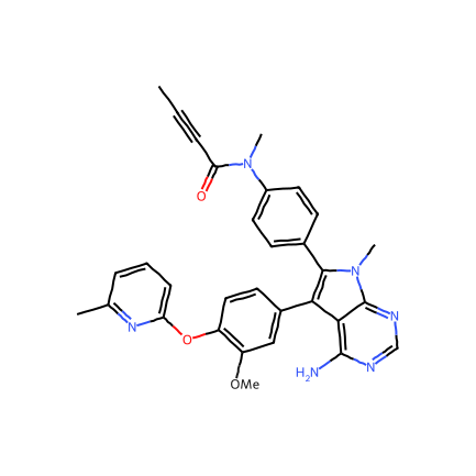 CC#CC(=O)N(C)c1ccc(-c2c(-c3ccc(Oc4cccc(C)n4)c(OC)c3)c3c(N)ncnc3n2C)cc1